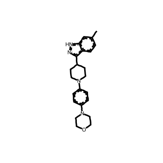 Cc1ccc2c(C3CCN(c4ccc(N5CCOCC5)cc4)CC3)n[nH]c2c1